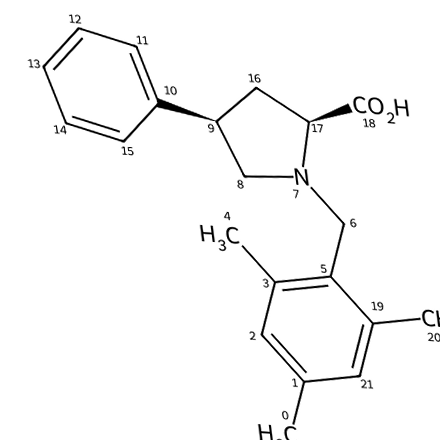 Cc1cc(C)c(CN2C[C@@H](c3ccccc3)C[C@H]2C(=O)O)c(C)c1